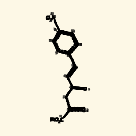 CCOC(=O)C(=O)CC(=O)C=Cc1ccc([N+](=O)[O-])cc1